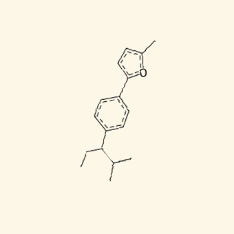 CCC(c1ccc(-c2ccc(C)o2)cc1)C(C)C